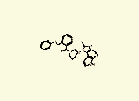 O=C(c1ccccc1COc1ccccc1)N1CCC[C@@H](n2c(=O)[nH]c3cnc4[nH]ccc4c32)C1